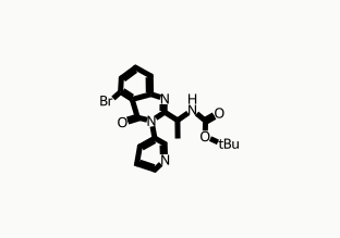 CC(NC(=O)OC(C)(C)C)c1nc2cccc(Br)c2c(=O)n1-c1cccnc1